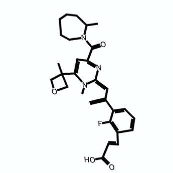 C=C(/C=C1/N=C(C(=O)N2CCCCCC2C)C=C(C2(C)COC2)N1C)c1cccc(/C=C/C(=O)O)c1F